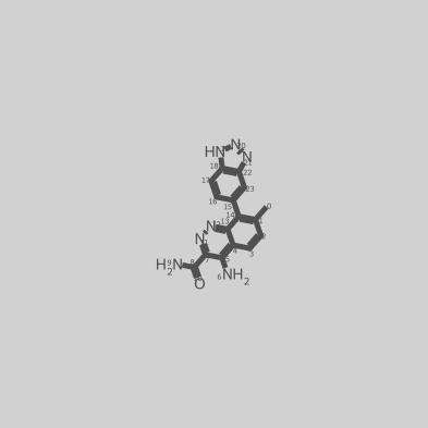 Cc1ccc2c(N)c(C(N)=O)nnc2c1-c1ccc2[nH]nnc2c1